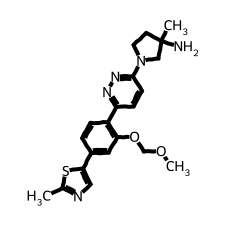 COCOc1cc(-c2cnc(C)s2)ccc1-c1ccc(N2CCC(C)(N)C2)nn1